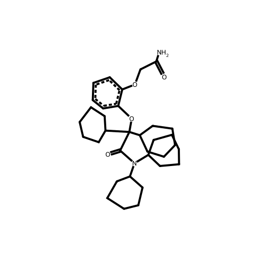 NC(=O)COc1ccccc1OC(C(=O)N(C1CCCCC1)C1CCCCC1)(C1CCCCC1)C1CCCCC1